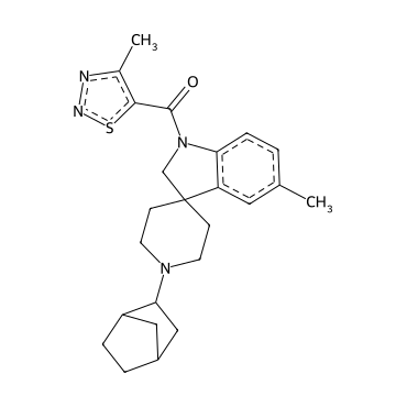 Cc1ccc2c(c1)C1(CCN(C3CC4CCC3C4)CC1)CN2C(=O)c1snnc1C